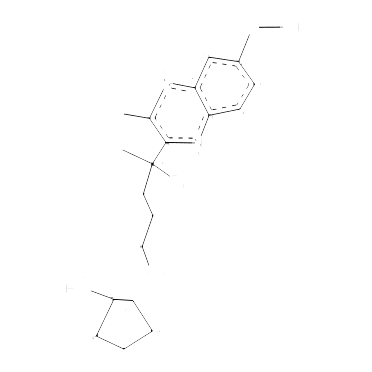 COc1ccc2nc(C(F)(F)CCCO[C@@H]3CCCC3C)c(O)nc2c1